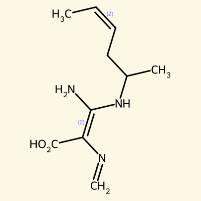 C=N/C(C(=O)O)=C(/N)NC(C)C/C=C\C